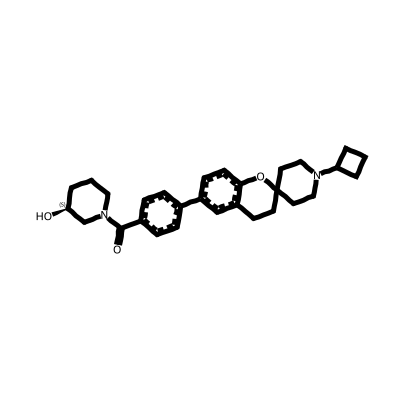 O=C(c1ccc(-c2ccc3c(c2)CCC2(CCN(C4CCC4)CC2)O3)cc1)N1CCC[C@H](O)C1